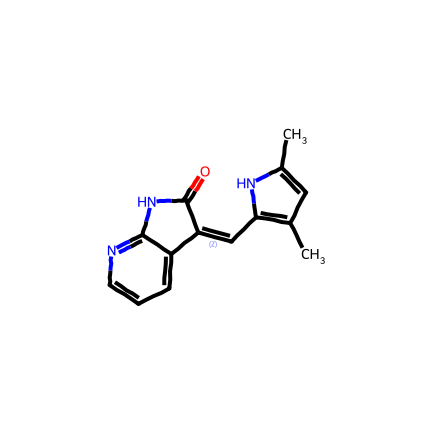 Cc1cc(C)c(/C=C2\C(=O)Nc3ncccc32)[nH]1